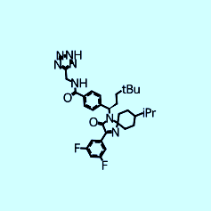 CC(C)C1CCC2(CC1)N=C(c1cc(F)cc(F)c1)C(=O)N2[C@H](CCC(C)(C)C)c1ccc(C(=O)NCc2nn[nH]n2)cc1